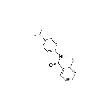 CC(C)c1ccc(NC(=O)c2ccccc2I)cc1